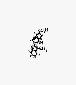 Cc1c(C(CC(C)C)Nc2ccc(C(=O)O)cn2)sc2ccccc12